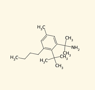 CCCCc1cc(C)cc(C(C)(C)N)c1C(C)(C)C